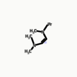 CC(C)N(C)/C=C\N(C)C